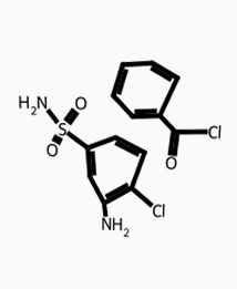 Nc1cc(S(N)(=O)=O)ccc1Cl.O=C(Cl)c1ccccc1